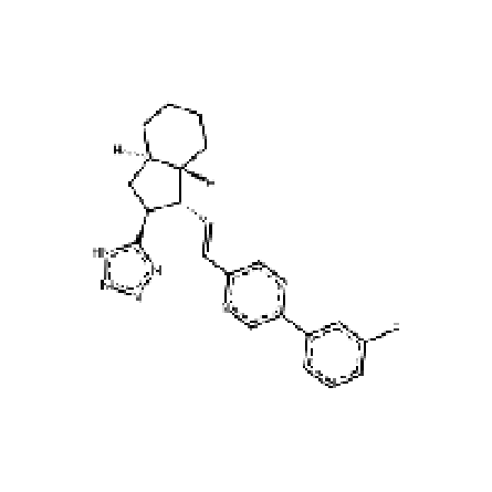 Fc1cccc(-c2ccc(C=C[C@H]3[C@H]4CCCC[C@@H]4C[C@@H]3c3nnn[nH]3)nc2)c1